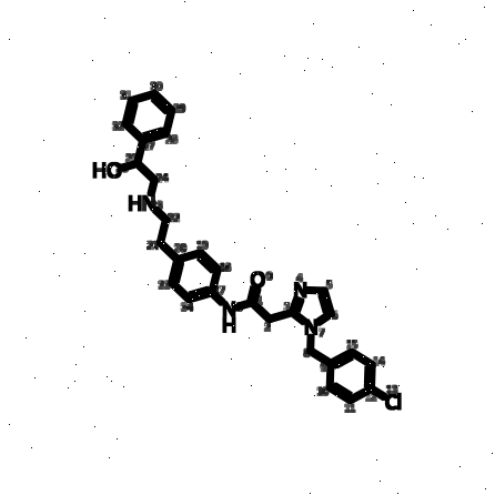 O=C(Cc1nccn1Cc1ccc(Cl)cc1)Nc1ccc(CCNCC(O)c2ccccc2)cc1